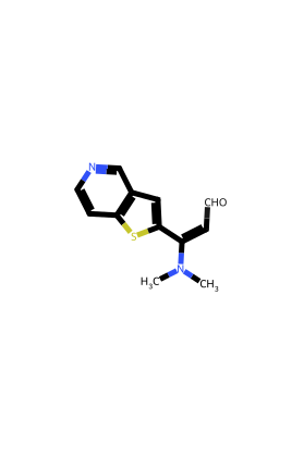 CN(C)/C(=C/C=O)c1cc2cnccc2s1